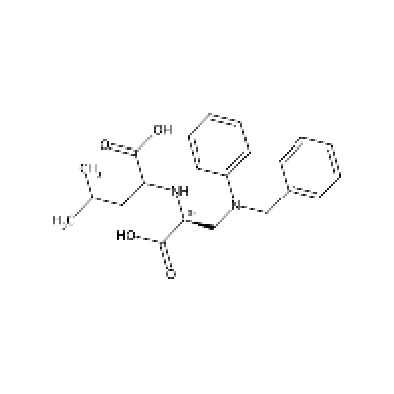 CC(C)CC(N[C@@H](CN(Cc1ccccc1)c1ccccc1)C(=O)O)C(=O)O